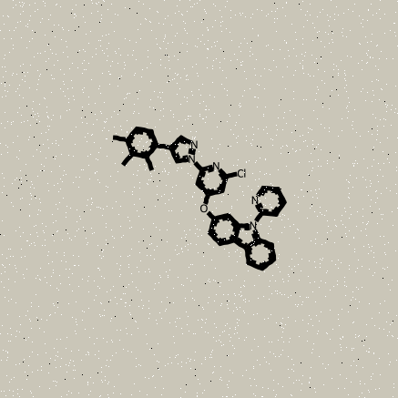 Cc1ccc(-c2cnn(-c3cc(Oc4ccc5c6ccccc6n(-c6ccccn6)c5c4)cc(Cl)n3)c2)c(C)c1C